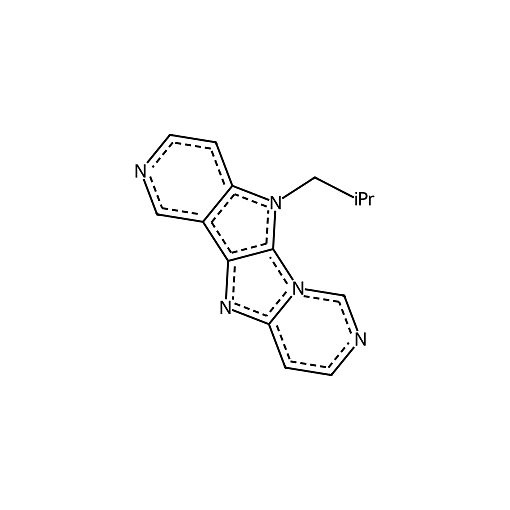 CC(C)Cn1c2ccncc2c2nc3ccncn3c21